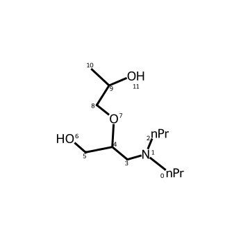 CCCN(CCC)CC(CO)OCC(C)O